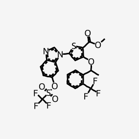 COC(=O)c1sc(-n2cnc3ccc(OS(=O)(=O)C(F)(F)F)cc32)cc1OC(C)c1ccccc1C(F)(F)F